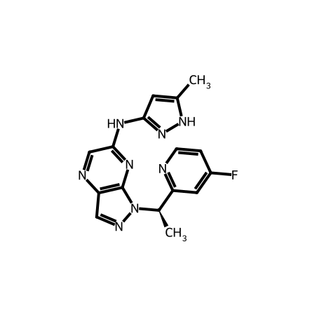 Cc1cc(Nc2cnc3cnn([C@H](C)c4cc(F)ccn4)c3n2)n[nH]1